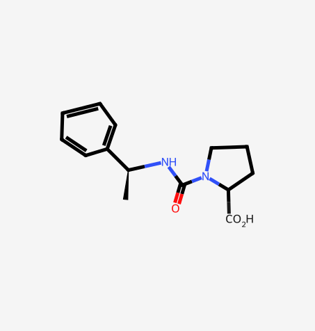 C[C@H](NC(=O)N1CCCC1C(=O)O)c1ccccc1